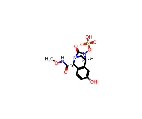 CONC(=O)[C@H]1c2ccc(O)cc2[C@H]2CN1C(=O)N2OS(=O)(=O)O